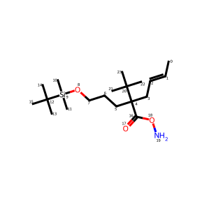 CC=CCC(CCCO[Si](C)(C)C(C)(C)C)(C(=O)ON)C(C)(C)C